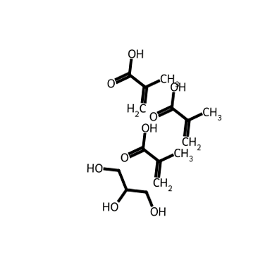 C=C(C)C(=O)O.C=C(C)C(=O)O.C=C(C)C(=O)O.OCC(O)CO